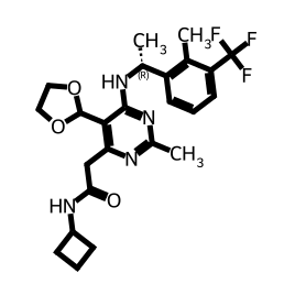 Cc1nc(CC(=O)NC2CCC2)c(C2OCCO2)c(N[C@H](C)c2cccc(C(F)(F)F)c2C)n1